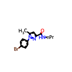 CCCNC(=O)c1cc(C)n(-c2ccc(Br)cc2)n1